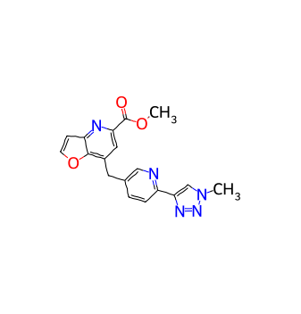 COC(=O)c1cc(Cc2ccc(-c3cn(C)nn3)nc2)c2occc2n1